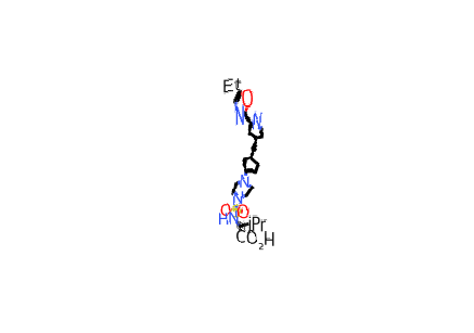 CCc1cnc(-c2cc(C#Cc3ccc(N4CCN(S(=O)(=O)N[C@@H](C(=O)O)C(C)C)CC4)cc3)ccn2)o1